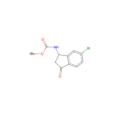 CC(C)(C)OC(=O)NC1CC(=O)c2ccc(Br)cc21